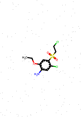 CCOc1cc(S(=O)(=O)CCCl)c(Cl)cc1N